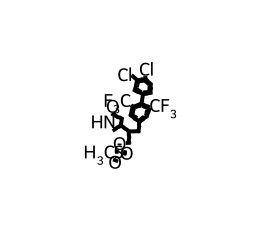 CS(=O)(=O)OCC(Cc1cc(C(F)(F)F)c(-c2ccc(Cl)c(Cl)c2)c(C(F)(F)F)c1)C1CNC(=O)C1